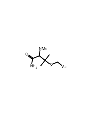 CNC(C(N)=O)C(C)(C)SCC(C)=O